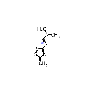 C=C1N=C(/N=C/N(C)C)SS1